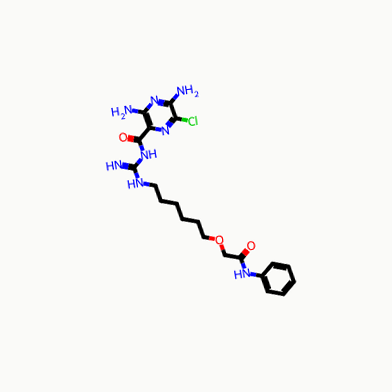 N=C(NCCCCCCOCC(=O)Nc1ccccc1)NC(=O)c1nc(Cl)c(N)nc1N